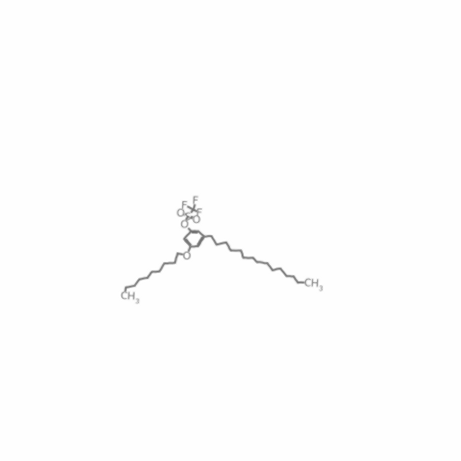 CCCCCCCCCCCCCCCc1cc(OCCCCCCCCCC)cc(OS(=O)(=O)C(F)(F)F)c1